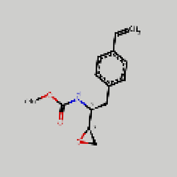 C=Cc1ccc(C[C@H](NC(=O)OCCCC)[C@H]2CO2)cc1